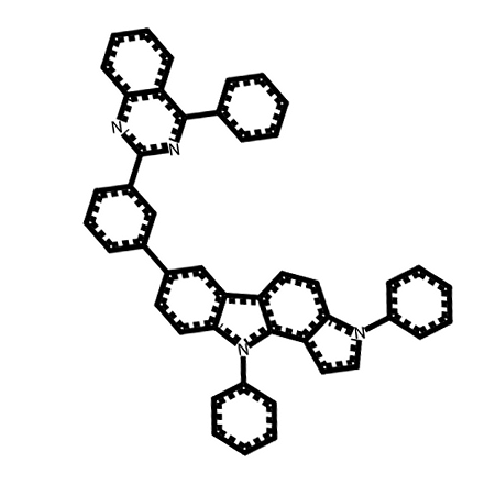 c1ccc(-c2nc(-c3cccc(-c4ccc5c(c4)c4ccc6c(ccn6-c6ccccc6)c4n5-c4ccccc4)c3)nc3ccccc23)cc1